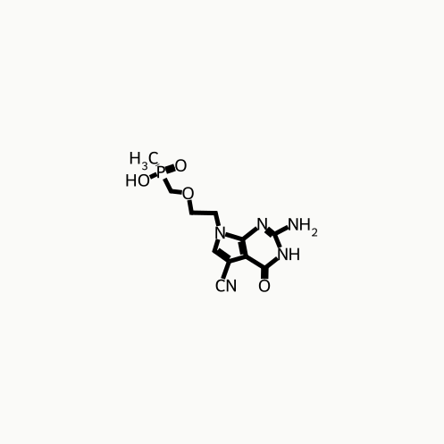 CP(=O)(O)COCCn1cc(C#N)c2c(=O)[nH]c(N)nc21